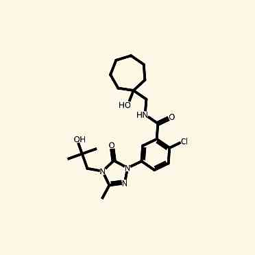 Cc1nn(-c2ccc(Cl)c(C(=O)NCC3(O)CCCCCC3)c2)c(=O)n1CC(C)(C)O